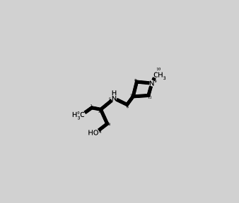 CCC(CO)NCC1CN(C)C1